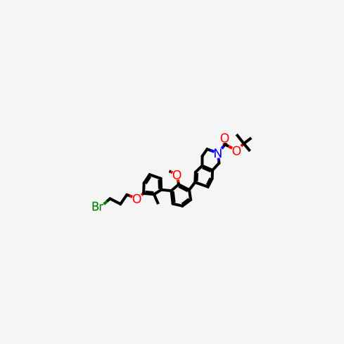 COc1c(-c2ccc3c(c2)CCN(C(=O)OC(C)(C)C)C3)cccc1-c1cccc(OCCCBr)c1C